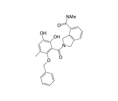 CNC(=O)c1cccc2c1CN(C(=O)c1c(O)c(O)cc(C)c1OCc1ccccc1)C2